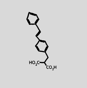 O=C(O)C(Cc1ccc(/C=C/c2ccccc2)cc1)C(=O)O